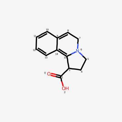 O=C(O)C1CCN2CC=c3ccccc3=C12